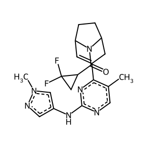 Cc1cnc(Nc2cnn(C)c2)nc1C1=CC2CCC(C1)N2C(=O)C1CC1(F)F